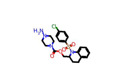 NN1CCN(C(=O)OCC2CCc3ccccc3N2S(=O)(=O)c2ccc(Cl)cc2)CC1